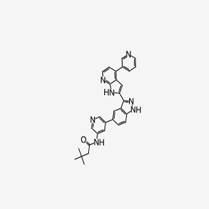 CC(C)(C)CC(=O)Nc1cncc(-c2ccc3[nH]nc(-c4cc5c(-c6cccnc6)ccnc5[nH]4)c3c2)c1